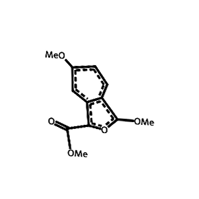 COC(=O)c1oc(OC)c2ccc(OC)cc12